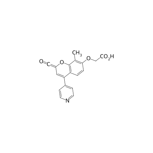 Cc1c(OCC(=O)O)ccc2c1OC(=C=O)C=C2c1ccncc1